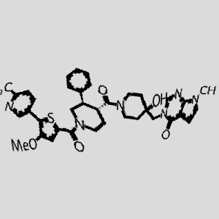 COc1cc(C(=O)N2CC[C@@H](C(=O)N3CCC(O)(Cn4cnc5c(ccn5C)c4=O)CC3)[C@H](c3ccccc3)C2)sc1-c1ccc(C)nc1